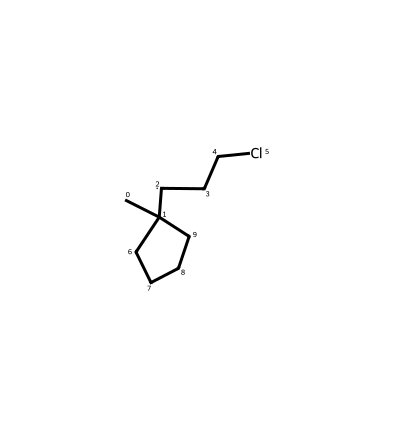 CC1([CH]CCCl)CCCC1